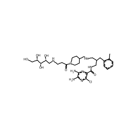 Cc1ccccc1CC(CNCC1CCN(C(=O)CCNC[C@H](O)[C@@H](O)[C@H](O)CO)CC1)CNC(=O)c1nc(N)c(N)nc1Cl